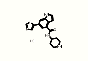 Cl.O=C(NC1CCNCC1)c1cc(-c2cncs2)cc2[nH]ccc12